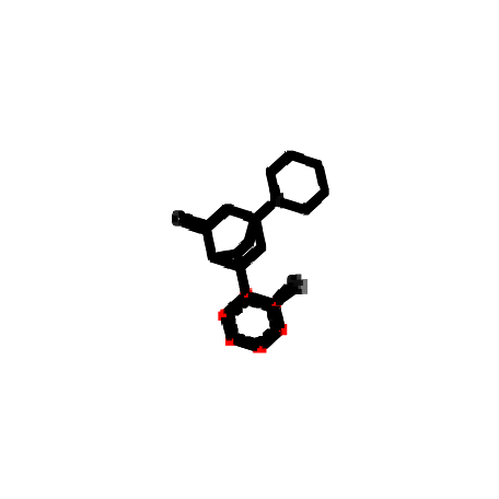 O=C1CC2(N3CCCCC3)CC(c3ccccc3Cl)C1C(c1ccccc1Cl)C2